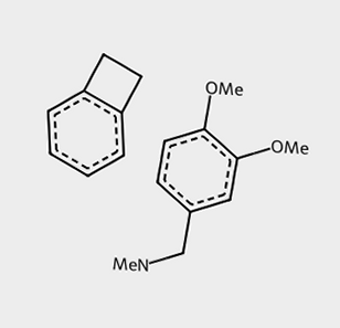 CNCc1ccc(OC)c(OC)c1.c1ccc2c(c1)CC2